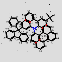 CC(C)(C)c1ccc(N(c2cccc(C3(c4ccccc4)c4ccccc4-c4ccccc43)c2)c2ccccc2-c2cccc3cccc(-c4ccccc4)c23)c(-c2ccccc2)c1